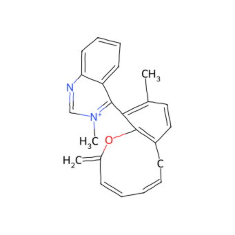 C=C1/C=C\C=C/Cc2ccc(C)c(-c3c4ccccc4nc[n+]3C)c2O1